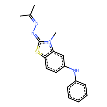 CC(C)=NN=c1sc2ccc(Nc3ccccc3)cc2n1C